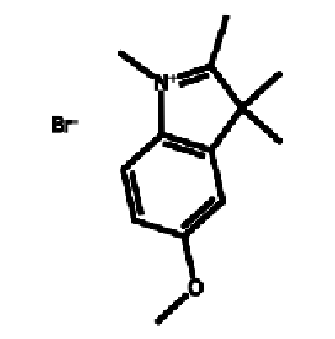 COc1ccc2c(c1)C(C)(C)C(C)=[N+]2C.[Br-]